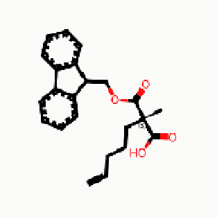 C=CCCC[C@@](C)(C(=O)O)C(=O)OCC1c2ccccc2-c2ccccc21